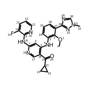 COc1c(Nc2cc(Nc3ncccc3F)ncc2C(=O)C2CC2)cccc1-c1ncn(C)n1